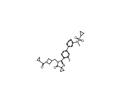 CN(c1cccc(-c2ccc(C3=NC4(CC4)C(=O)N3CC3CN(C(=O)C4CC4)C3)c(F)c2)c1)S(=O)(=O)C1CC1